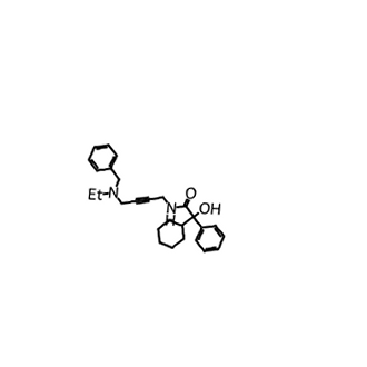 CCN(CC#CCNC(=O)C(O)(c1ccccc1)C1CCCCC1)Cc1ccccc1